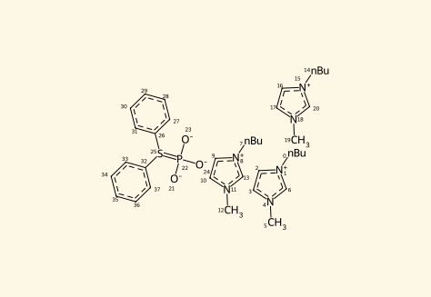 CCCC[n+]1ccn(C)c1.CCCC[n+]1ccn(C)c1.CCCC[n+]1ccn(C)c1.[O-]P([O-])([O-])=S(c1ccccc1)c1ccccc1